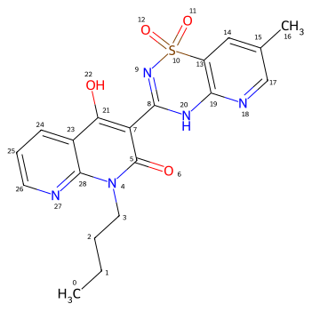 CCCCn1c(=O)c(C2=NS(=O)(=O)c3cc(C)cnc3N2)c(O)c2cccnc21